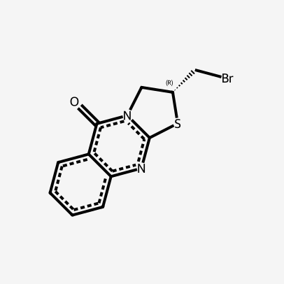 O=c1c2ccccc2nc2n1C[C@H](CBr)S2